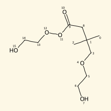 CC(C)(COCCO)CC(=O)OOCCO